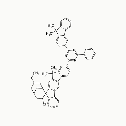 CCC1CC2CC(C)C3(c4ccccc4-c4cc5c(cc43)C(C)(C)c3cc(-c4nc(-c6ccccc6)nc(-c6ccc7c(c6)-c6ccccc6C7(C)C)n4)ccc3-5)C(C1)C2